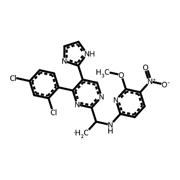 [CH2]C(Nc1ccc([N+](=O)[O-])c(OC)n1)c1ncc(-c2ncc[nH]2)c(-c2ccc(Cl)cc2Cl)n1